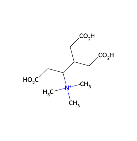 C[N+](C)(C)C(CC(=O)O)C(CC(=O)O)CC(=O)O